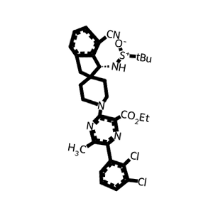 CCOC(=O)c1nc(-c2cccc(Cl)c2Cl)c(C)nc1N1CCC2(CC1)Cc1cccc(C#N)c1[C@@H]2N[S+]([O-])C(C)(C)C